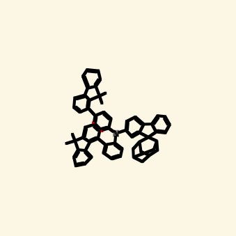 CC1(C)c2ccccc2-c2c(-c3ccccc3N(c3ccc(-c4cccc5c4C(C)(C)c4ccccc4-5)cc3)c3ccc4c(c3)C3(c5ccccc5-4)C4CC5CC(C4)CC3C5)cccc21